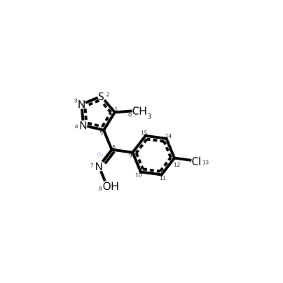 Cc1snnc1/C(=N/O)c1ccc(Cl)cc1